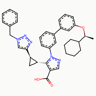 C[C@H](Oc1cccc(-c2cccc(-n3ncc(C(=O)O)c3[C@@H]3C[C@H]3c3cn(Cc4ccccc4)nn3)c2)c1)C1CCCCC1